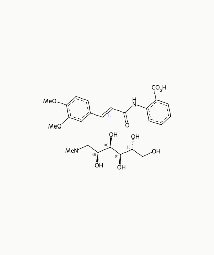 CNC[C@H](O)[C@@H](O)[C@H](O)[C@H](O)CO.COc1ccc(/C=C/C(=O)Nc2ccccc2C(=O)O)cc1OC